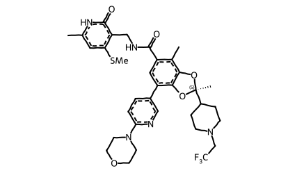 CSc1cc(C)[nH]c(=O)c1CNC(=O)c1cc(-c2ccc(N3CCOCC3)nc2)c2c(c1C)O[C@@](C)(C1CCN(CC(F)(F)F)CC1)O2